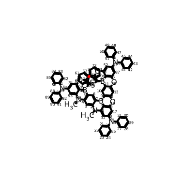 CN1c2cc3c(cc2B2c4cc5c(cc4Oc4cc(N(c6ccccc6)c6ccccc6)cc1c42)Oc1cc(N(c2ccccc2)c2ccccc2)cc2c1B5c1sc4ccccc4c1O2)B1c2sc4ccccc4c2Oc2cc(N(c4ccccc4)c4ccccc4)cc(c21)N3C